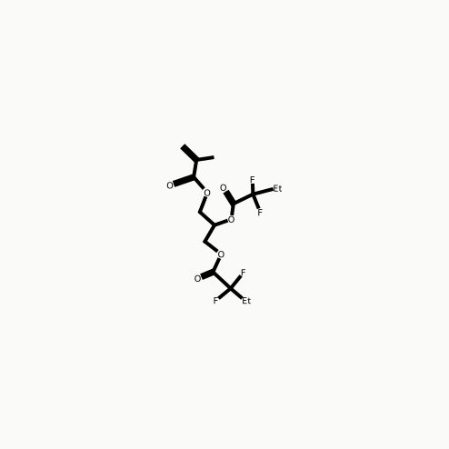 C=C(C)C(=O)OCC(COC(=O)C(F)(F)CC)OC(=O)C(F)(F)CC